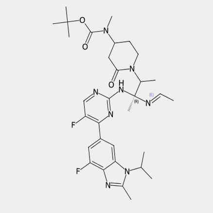 C/C=N/[C@@](C)(Nc1ncc(F)c(-c2cc(F)c3nc(C)n(C(C)C)c3c2)n1)C(C)N1CCC(N(C)C(=O)OC(C)(C)C)CC1=O